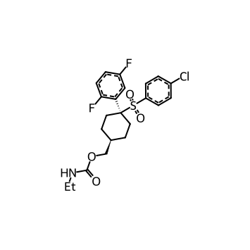 CCNC(=O)OC[C@H]1CC[C@@](c2cc(F)ccc2F)(S(=O)(=O)c2ccc(Cl)cc2)CC1